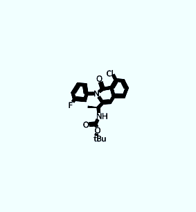 C[C@H](NC(=O)OC(C)(C)C)c1cc2cccc(Cl)c2c(=O)n1-c1cccc(F)c1